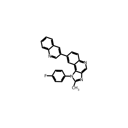 Cc1nc2cnc3ccc(-c4cnc5ccccc5c4)cc3c2n1-c1ccc(F)cc1